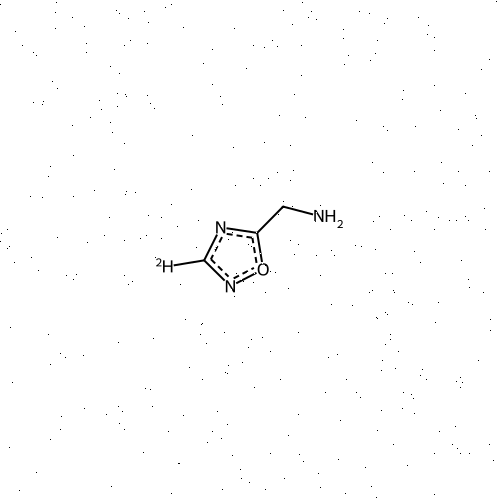 [2H]c1noc(CN)n1